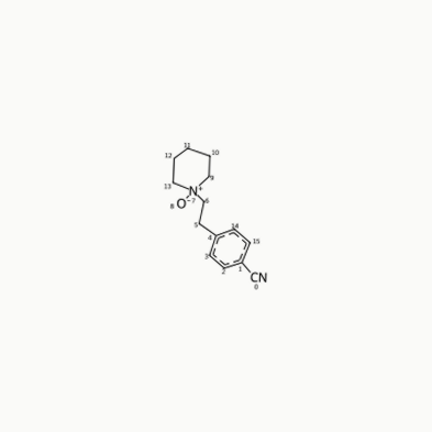 N#Cc1ccc(CC[N+]2([O-])CCCCC2)cc1